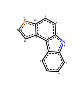 c1ccc2c(c1)[nH]c1ccc3sccc3c12